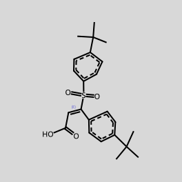 CC(C)(C)c1ccc(/C(=C\C(=O)O)S(=O)(=O)c2ccc(C(C)(C)C)cc2)cc1